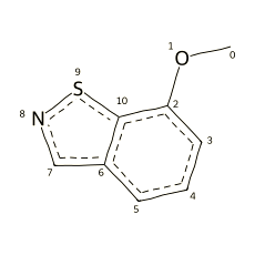 COc1cccc2cnsc12